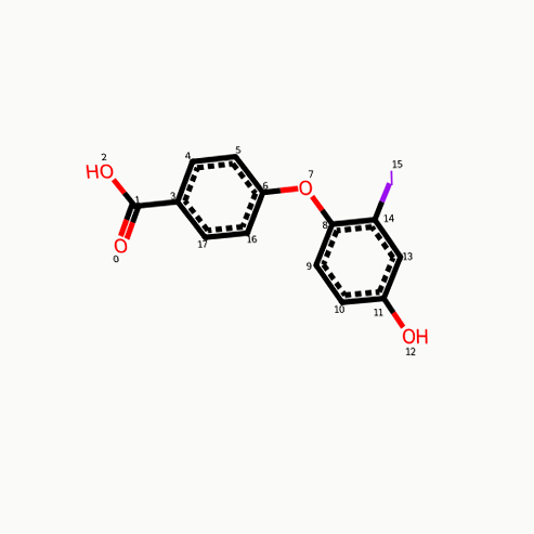 O=C(O)c1ccc(Oc2ccc(O)cc2I)cc1